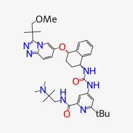 COCC(C)(C)c1nnc2ccc(O[C@@H]3CC[C@H](NC(=O)Nc4cc(C(=O)NCC(C)(C)N(C)C)nc(C(C)(C)C)c4)c4ccccc43)cn12